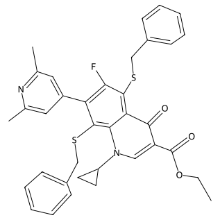 CCOC(=O)c1cn(C2CC2)c2c(SCc3ccccc3)c(-c3cc(C)nc(C)c3)c(F)c(SCc3ccccc3)c2c1=O